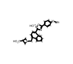 CC(C)Oc1ccc(-c2nc(-c3ccc(CN4CC(C(=O)O)C4)c4ccccc34)no2)cc1.Cl